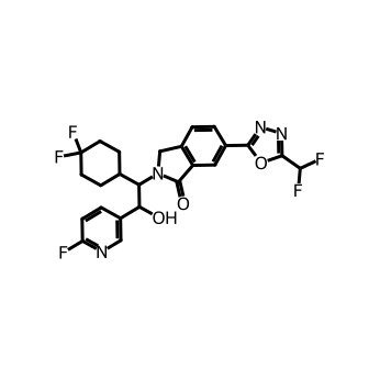 O=C1c2cc(-c3nnc(C(F)F)o3)ccc2CN1C(C1CCC(F)(F)CC1)C(O)c1ccc(F)nc1